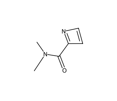 CN(C)C(=O)C1=NC=C1